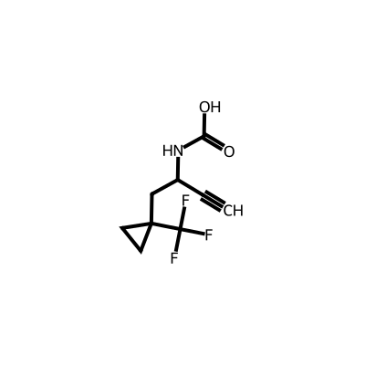 C#CC(CC1(C(F)(F)F)CC1)NC(=O)O